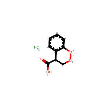 Cl.O=C(O)C1COOc2ccccc21